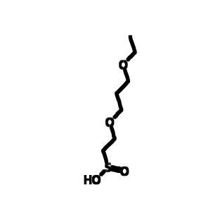 CCOCCCOCCS(=O)O